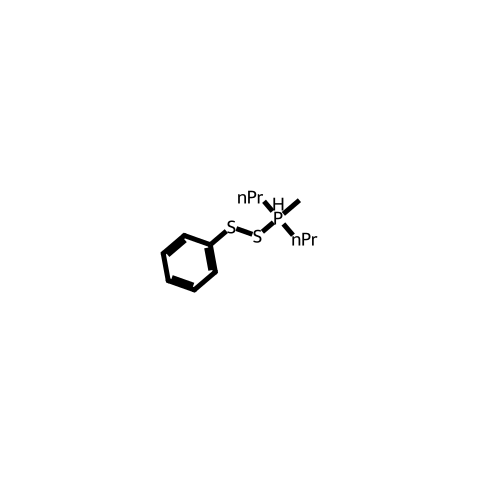 CCC[PH](C)(CCC)SSc1ccccc1